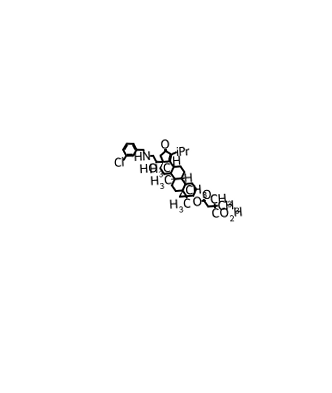 CC(C)C1=C2[C@H]3CC[C@@H]4[C@@]5(C)CC[C@H](OC(=O)CC(C)(C)C(=O)O)C6(C)C[C@]65CC[C@@]4(C)[C@]3(C)CC[C@@]2([C@H](O)CNCc2cccc(Cl)c2)CC1=O